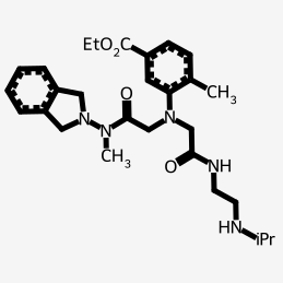 CCOC(=O)c1ccc(C)c(N(CC(=O)NCCNC(C)C)CC(=O)N(C)N2Cc3ccccc3C2)c1